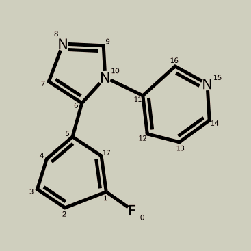 Fc1cccc(-c2cncn2-c2cccnc2)c1